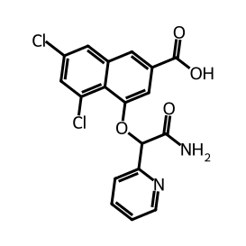 NC(=O)C(Oc1cc(C(=O)O)cc2cc(Cl)cc(Cl)c12)c1ccccn1